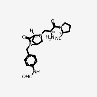 N#C[C@@H]1CCCN1C(=O)[C@@H](N)CN1CC2C[C@H]1C(=O)N2Cc1ccc(NC=O)cc1